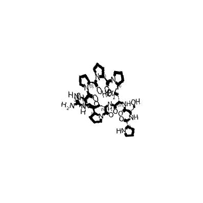 CC(C)C[C@H](NC(=O)[C@H](CO)NC(=O)[C@@H]1CCCN1)C(=O)N[C@@H](CCCNC(=N)N)C(=O)N1CCC[C@H]1C(=O)N[C@@H](C)C(=O)N1CCC[C@H]1C(=O)N1CCC[C@H]1C(=O)N1CCC[C@H]1C(=O)O